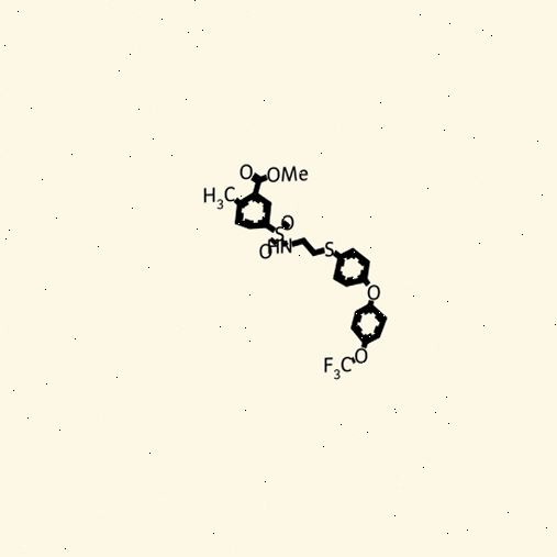 COC(=O)c1cc(S(=O)(=O)NCCSc2ccc(Oc3ccc(OC(F)(F)F)cc3)cc2)ccc1C